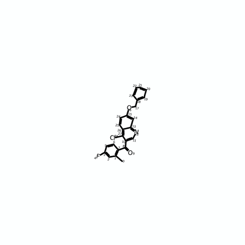 Cc1cc(F)ccc1C(=O)c1cnc2cc(OCc3ccccc3)ccc2c1Cl